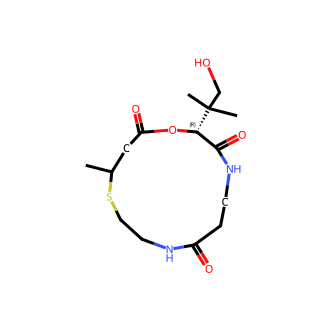 CC1CC(=O)O[C@H](C(C)(C)CO)C(=O)NCCC(=O)NCCS1